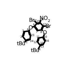 CC(C)(C)c1ccc(Oc2cc(Oc3ccc(C(C)(C)C)cc3)c(Br)c([N+](=O)[O-])c2Br)cc1